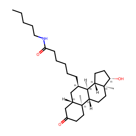 CCCCCNC(=O)CCCCC[C@@H]1C[C@H]2CC(=O)CC[C@]2(C)[C@H]2CC[C@]3(C)[C@@H](O)CC[C@H]3[C@H]12